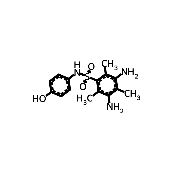 Cc1c(N)c(C)c(S(=O)(=O)Nc2ccc(O)cc2)c(C)c1N